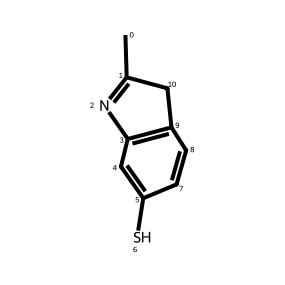 CC1=Nc2cc(S)ccc2C1